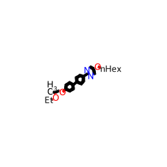 CCCCCCOc1cnc(-c2ccc(-c3ccc(OCC(C)OCC)cc3)cc2)nc1